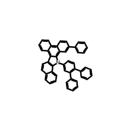 c1ccc(-c2ccc3c4ccccc4c4c5ccc6ccccc6c5n(-c5ccc(-c6ccccc6)c(-c6ccccc6)c5)c4c3c2)cc1